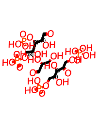 O=C(CO)[C@@H](O)[C@H](O)COP(=O)(O)O.O=CC(O)CO.O=C[C@H](O)[C@H](OP(=O)(O)O)[C@H](O)COP(=O)(O)O.O=P(O)(O)O